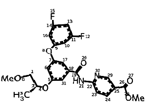 COC[C@H](C)Oc1cc(Oc2cc(F)cc(F)c2)cc(C(=O)Nc2ccc(C(=O)OC)cn2)c1